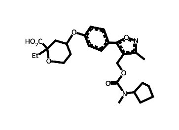 CCC1(C(=O)O)CC(Oc2ccc(-c3onc(C)c3COC(=O)N(C)C3CCCC3)cc2)CCO1